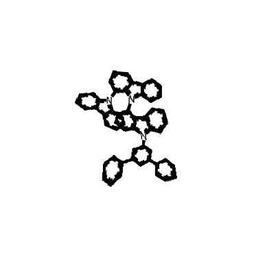 c1ccc(-c2cc(-c3ccccc3)cc(-n3c4ccccc4c4c(-n5c6ccccc6c6cccc(-n7c8ccccc8c8ccccc87)c65)cccc43)c2)cc1